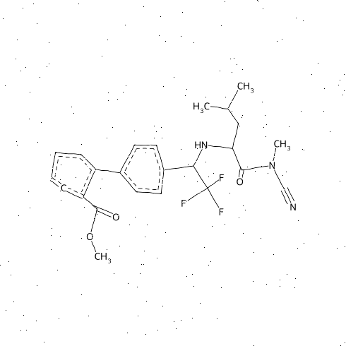 COC(=O)c1ccccc1-c1ccc(C(NC(CC(C)C)C(=O)N(C)C#N)C(F)(F)F)cc1